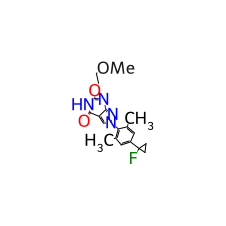 COCCOc1nc2nn(-c3c(C)cc(C4(F)CC4)cc3C)cc2c(=O)[nH]1